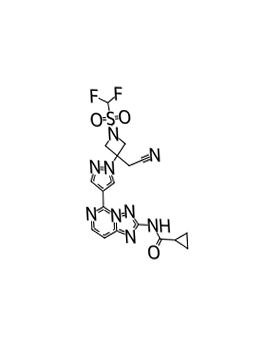 N#CCC1(n2cc(-c3nccc4nc(NC(=O)C5CC5)nn34)cn2)CN(S(=O)(=O)C(F)F)C1